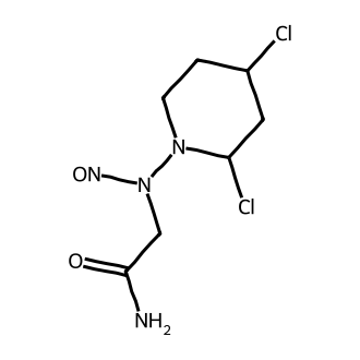 NC(=O)CN(N=O)N1CCC(Cl)CC1Cl